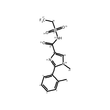 Cc1ccccc1-c1nc(C(=O)NS(=O)(=O)CC(F)(F)F)cn1C